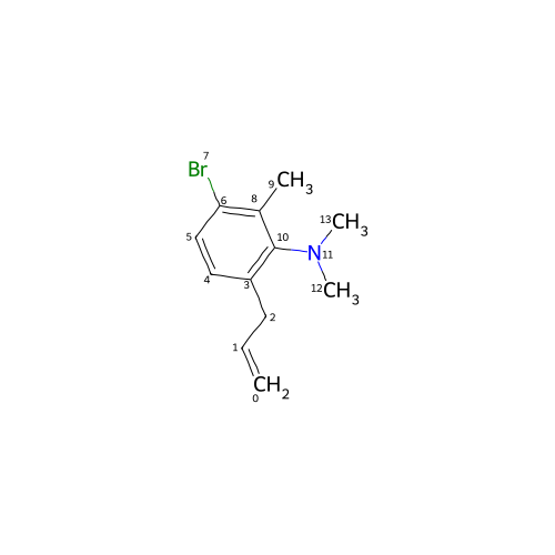 C=CCc1ccc(Br)c(C)c1N(C)C